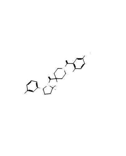 Cc1ccc(F)c(C(=O)N2CCC3(CC2)O[C@@H]2CC[C@@H](c4cccc(F)c4)N2C3=O)c1